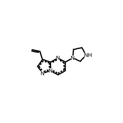 C=Cc1cnn2ccc(N3CCNC3)nc12